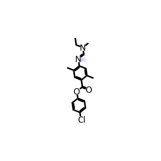 CCN(C)/C=N/c1cc(C)c(C(=O)Oc2ccc(Cl)cc2)cc1C